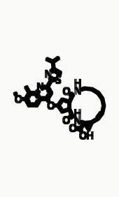 COc1ccc2c(OC3CC4C(=O)NCCCCC/C=C\C5CC5(C(=O)O)NC(=O)C4C3)cc(-c3nc(C(C)C)cs3)nc2c1C